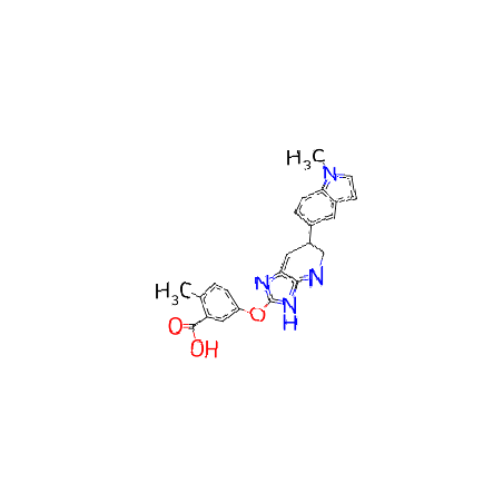 Cc1ccc(Oc2nc3c([nH]2)=NCC(c2ccc4c(ccn4C)c2)C=3)cc1C(=O)O